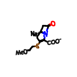 COCCSC1=C(C(=O)[O-])N2C(=O)CC2C1.[Na+]